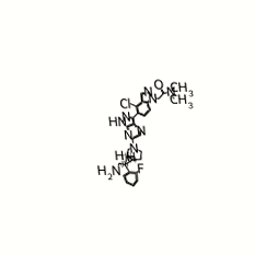 CN(C)C(=O)Cn1ncc2c(Cl)c(-c3n[nH]c4nc(N5CC[C@@H]6[C@H](C5)[C@@]6(CN)c5ccccc5F)cnc34)ccc21